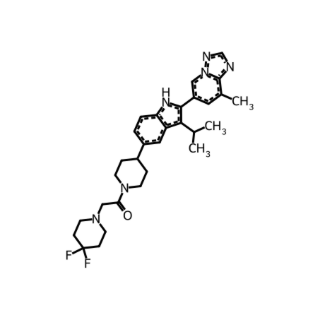 Cc1cc(-c2[nH]c3ccc(C4CCN(C(=O)CN5CCC(F)(F)CC5)CC4)cc3c2C(C)C)cn2ncnc12